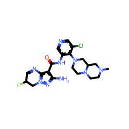 CN1CCN2CCN(c3c(Cl)cncc3NC(=O)c3c(N)nn4c3N=CC(F)C4)CC2C1